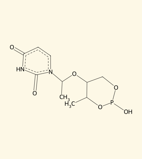 CC1OP(O)OCC1OC(C)n1ccc(=O)[nH]c1=O